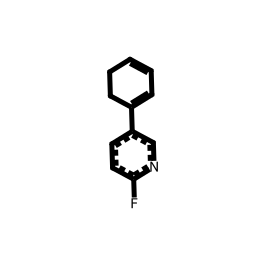 Fc1ccc(C2=CC=CCC2)cn1